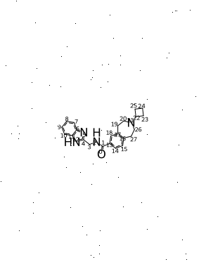 O=C(NCc1nc2ccccc2[nH]1)c1ccc2c(c1)CCN(C1CCC1)CC2